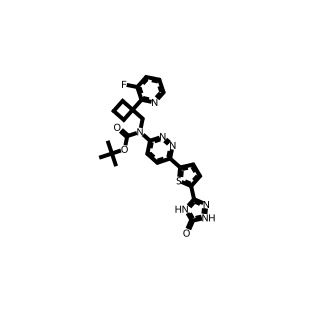 CC(C)(C)OC(=O)N(CC1(c2ncccc2F)CCC1)c1ccc(-c2ccc(-c3n[nH]c(=O)[nH]3)s2)nn1